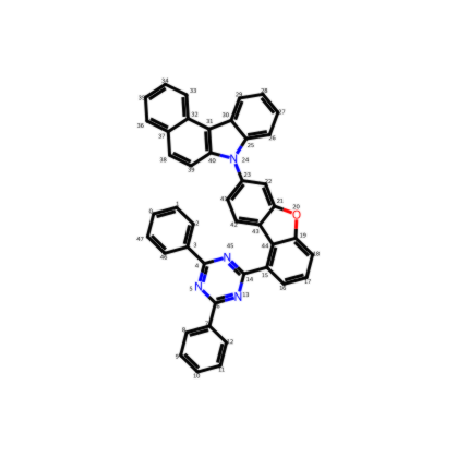 c1ccc(-c2nc(-c3ccccc3)nc(-c3cccc4oc5cc(-n6c7ccccc7c7c8ccccc8ccc76)ccc5c34)n2)cc1